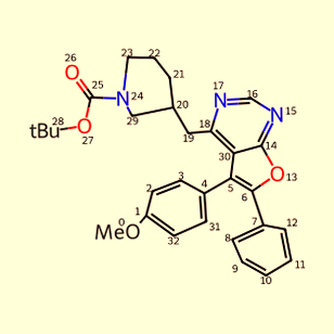 COc1ccc(-c2c(-c3ccccc3)oc3ncnc(CC4CCCN(C(=O)OC(C)(C)C)C4)c23)cc1